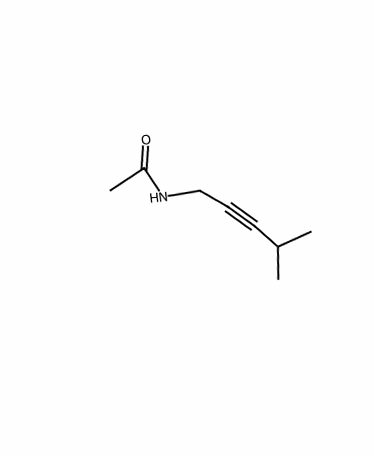 CC(=O)NCC#CC(C)C